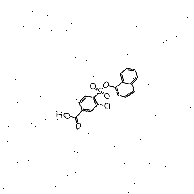 O=C(O)c1ccc(S(=O)(=O)Oc2cccc3ccccc23)c(Cl)c1